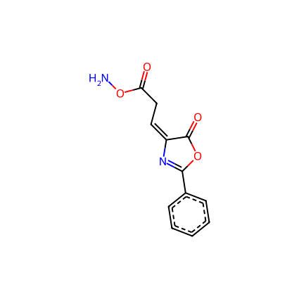 NOC(=O)CC=C1N=C(c2ccccc2)OC1=O